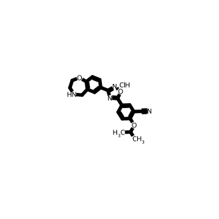 CC(C)Oc1ccc(-c2nc(-c3ccc4c(c3)CNCCO4)no2)cc1C#N.Cl